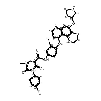 Cn1cc(C(=O)Nc2ccc(Oc3ccnc4cc(OC5CCOC5)c5c(c34)OCCO5)c(F)c2)c(=O)n(-c2ccc(F)cc2)c1=O